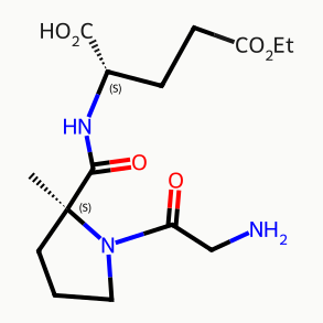 CCOC(=O)CC[C@H](NC(=O)[C@]1(C)CCCN1C(=O)CN)C(=O)O